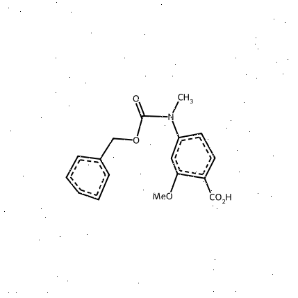 COc1cc(N(C)C(=O)OCc2ccccc2)ccc1C(=O)O